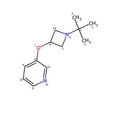 CC(C)(C)N1CC(Oc2cccnc2)C1